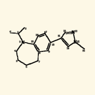 CC(C)N1CCCCc2cc(-c3cnn(C)c3)ccc21